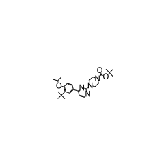 CC(C)Oc1ccc(-c2ccnc(N3CCN(C(=O)OC(C)(C)C)CC3)n2)cc1C(C)(C)C